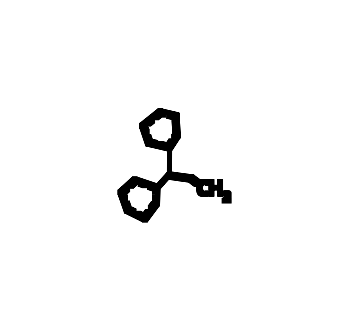 C=C=C(c1ccccc1)c1ccccc1